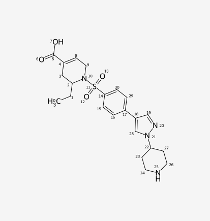 CCC1CC(C(=O)O)=CCN1S(=O)(=O)c1ccc(-c2cnn(C3CCNCC3)c2)cc1